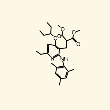 CCc1cc(OC(CC)CC)c(CC(C(=O)OC)C(=O)OC)c(Nc2c(C)cc(C)cc2C)n1